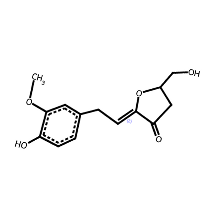 COc1cc(C/C=C2\OC(CO)CC2=O)ccc1O